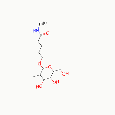 CCCCNC(=O)CCCCOC1OC(CO)C(O)C(O)C1C